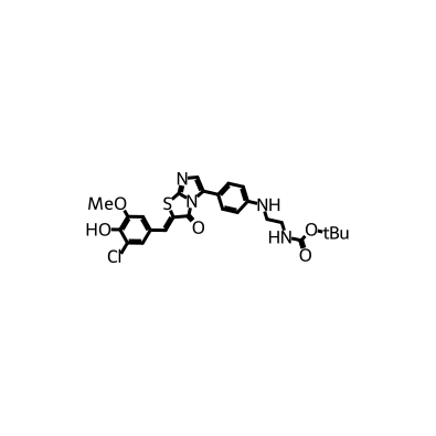 COc1cc(C=c2sc3ncc(-c4ccc(NCCNC(=O)OC(C)(C)C)cc4)n3c2=O)cc(Cl)c1O